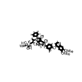 COc1cc2nccc(Oc3ccc(NC(=O)c4c(C)n(C(I)C(C)C(NC(=O)OC(C)(C)C)C(=O)O)n(-c5ccccc5)c4=O)cc3F)c2cc1OC